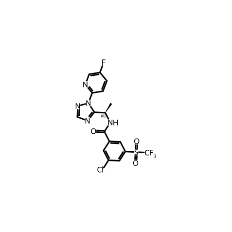 C[C@@H](NC(=O)c1cc(Cl)cc(S(=O)(=O)C(F)(F)F)c1)c1ncnn1-c1ccc(F)cn1